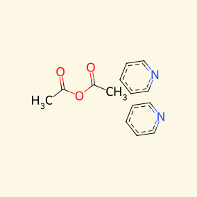 CC(=O)OC(C)=O.c1ccncc1.c1ccncc1